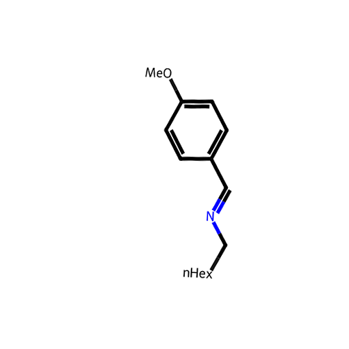 CCCCCCC/N=C/c1ccc(OC)cc1